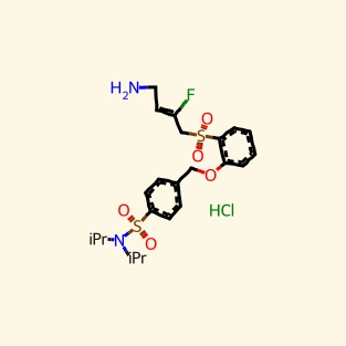 CC(C)N(C(C)C)S(=O)(=O)c1ccc(COc2ccccc2S(=O)(=O)CC(F)=CCN)cc1.Cl